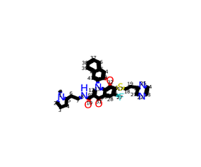 CN1CCCC1CCNC(=O)c1cn2c3c(c(SCCc4cnccn4)c(F)cc3c1=O)Oc1cc3ccccc3cc1-2